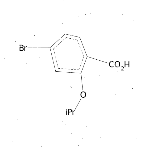 CC(C)Oc1cc(Br)ccc1C(=O)O